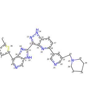 Cc1ccc(-c2cncc3[nH]c(-c4n[nH]c5ccc(-c6cncc(CN7CCCCC7)c6)nc45)nc23)s1